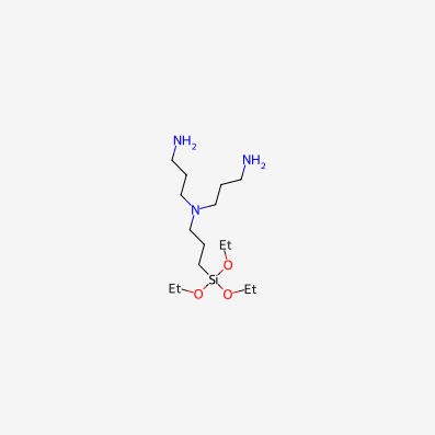 CCO[Si](CCCN(CCCN)CCCN)(OCC)OCC